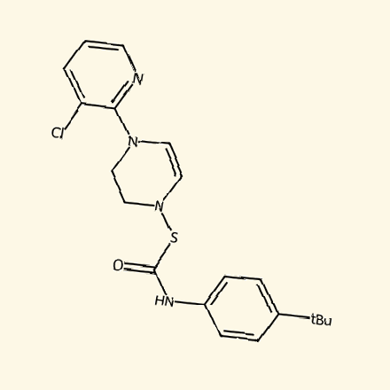 CC(C)(C)c1ccc(NC(=O)SN2C=CN(c3ncccc3Cl)CC2)cc1